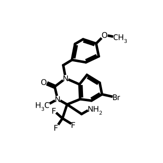 COc1ccc(CN2C(=O)N(C)C(CN)(C(F)(F)F)c3cc(Br)ccc32)cc1